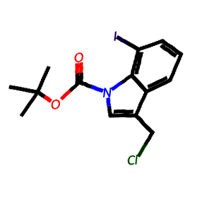 CC(C)(C)OC(=O)n1cc(CCl)c2cccc(I)c21